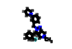 CN1Cc2nn(Cc3cccc(N4CCCC4)c3)c(-c3ccccc3F)c2C1